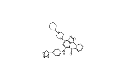 O=C1c2ccccc2-c2onc3c(N4CCN(C5CCCCC5)CC4)cc(Nc4ccc(C5=NN=NC5)cc4)c1c23